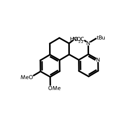 COc1cc2c(cc1OC)C(c1cccnc1N(C(=O)O)C(C)(C)C)C([N+](=O)[O-])CC2